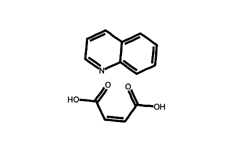 O=C(O)/C=C\C(=O)O.c1ccc2ncccc2c1